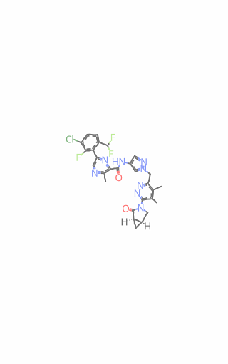 Cc1ncc(-c2c(C(F)F)ccc(Cl)c2F)nc1C(=O)Nc1cnn(Cc2nnc(N3C[C@H]4C[C@H]4C3=O)c(C)c2C)c1